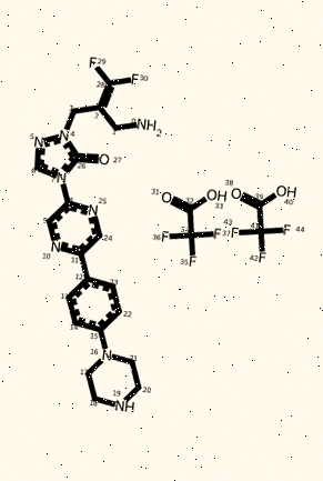 NCC(Cn1ncn(-c2cnc(-c3ccc(N4CCNCC4)cc3)cn2)c1=O)=C(F)F.O=C(O)C(F)(F)F.O=C(O)C(F)(F)F